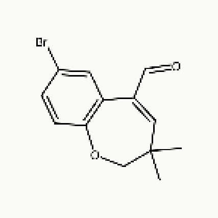 CC1(C)C=C(C=O)c2cc(Br)ccc2OC1